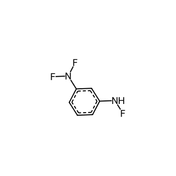 FNc1cccc(N(F)F)c1